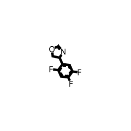 Fc1cc(F)c(C2CO[C]=N2)cc1F